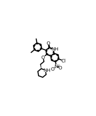 Cc1cc(C)cc(-c2c(OCC[C@@H]3CCCCN3)c3cc([N+](=O)[O-])c(Cl)cc3[nH]c2=O)c1